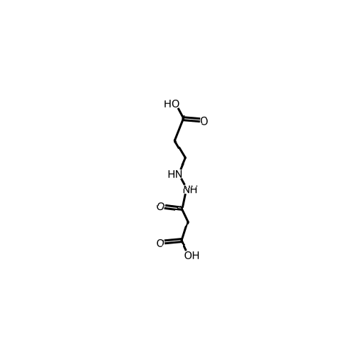 O=C(O)CCNNC(=O)CC(=O)O